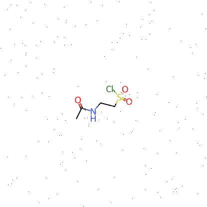 CC(=O)NCCS(=O)(=O)Cl